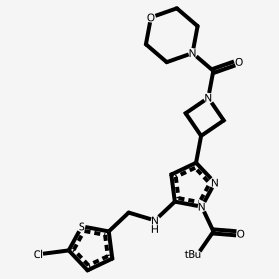 CC(C)(C)C(=O)n1nc(C2CN(C(=O)N3CCOCC3)C2)cc1NCc1ccc(Cl)s1